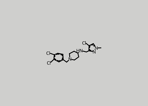 Cn1cc(Cl)c(CNC2CCN(Cc3ccc(Cl)c(Cl)c3)CC2)n1